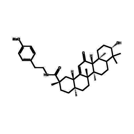 COc1ccc(CCNC(=O)[C@@]2(C)CC[C@]3(C)CC[C@]4(C)C(=CC(=O)[C@@H]5[C@@]6(C)CC[C@H](O)C(C)(C)C6CC[C@]54C)[C@H]3C2)cc1